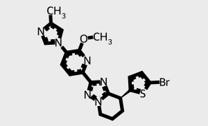 COc1nc(-c2nc3n(n2)CCC[C@@H]3c2ccc(Br)s2)ccc1-n1cnc(C)c1